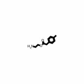 Cc1ccc(CC(=O)OCCN)cc1